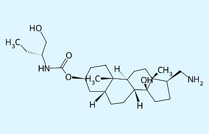 CC[C@H](CO)NC(=O)O[C@H]1CC[C@@]2(C)[C@H](CC[C@@H]3[C@@H]2CC[C@]2(C)[C@@H](CN)CC[C@]32O)C1